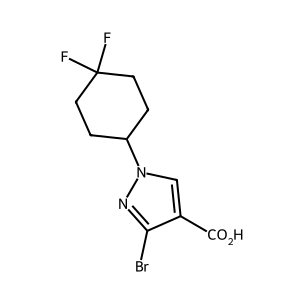 O=C(O)c1cn(C2CCC(F)(F)CC2)nc1Br